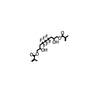 C=C(C)C(=O)OCC(O)CC(F)(F)C(F)(F)C(F)(F)CC(O)COC(=O)C(=C)C